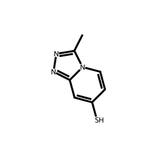 Cc1nnc2cc(S)ccn12